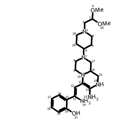 COC(CN1CCC(N2CCN3C(/C=C(\N)c4ccccc4O)=C(N)NCC3C2)CC1)OC